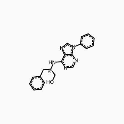 OC[C@@H](Cc1ccccc1)Nc1ncnc2c1ncn2-c1ccccc1